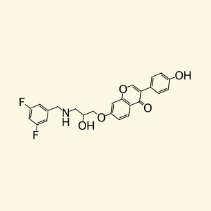 O=c1c(-c2ccc(O)cc2)coc2cc(OCC(O)CNCc3cc(F)cc(F)c3)ccc12